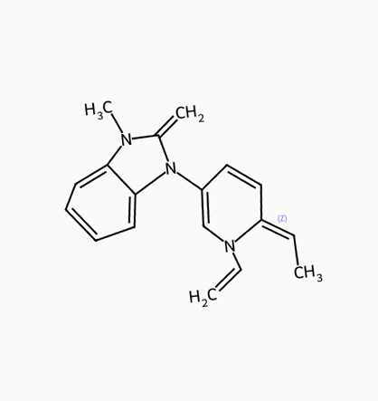 C=CN1C=C(N2C(=C)N(C)c3ccccc32)C=C/C1=C/C